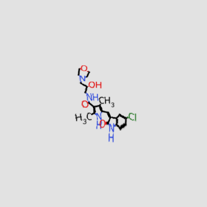 Cc1[nH]c(/C=C2\C(=O)Nc3ccc(Cl)cc32)c(C)c1C(=O)NC[C@@H](O)CN1CCOCC1